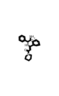 NC(=O)[C@@H](N/C(=C\C(=O)N1CCCCC1)c1ccccc1)c1ccccc1